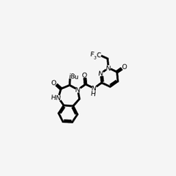 CCC(C)C1C(=O)Nc2ccccc2CN1C(=O)Nc1ccc(=O)n(CC(F)(F)F)n1